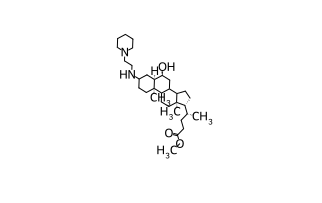 COC(=O)CC[C@@H](C)[C@H]1CCC2C3C[C@H](O)[C@@H]4CC(NCCN5CCCCC5)CC[C@]4(C)C3CC[C@@]21C